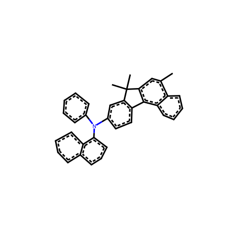 Cc1cc2c(c3ccccc13)-c1ccc(N(c3ccccc3)c3cccc4ccccc34)cc1C2(C)C